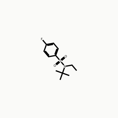 CCN(C(C)(C)C)S(=O)(=O)c1ccc(F)cc1